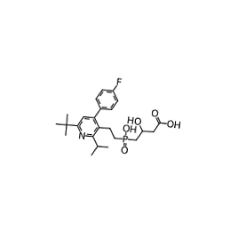 CC(C)c1nc(C(C)(C)C)cc(-c2ccc(F)cc2)c1CCP(=O)(O)CC(O)CC(=O)O